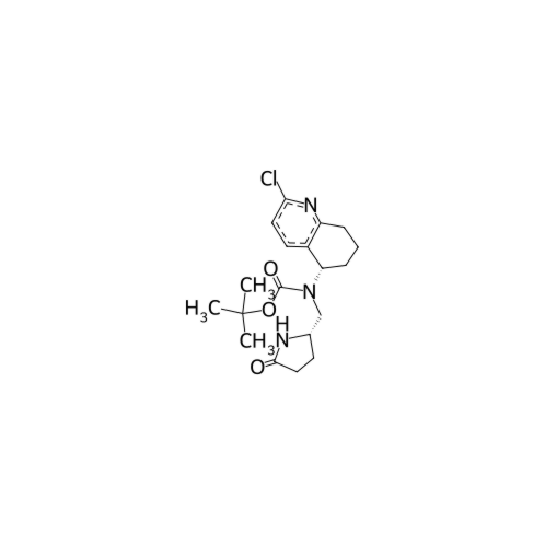 CC(C)(C)OC(=O)N(C[C@@H]1CCC(=O)N1)[C@H]1CCCc2nc(Cl)ccc21